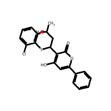 CC(C)CC(Sc1c(Cl)cccc1Cl)c1c(O)cc(-c2ccccc2)oc1=O